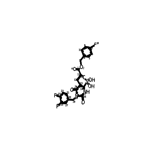 O=C(OCc1ccc(F)cc1)C1=Cc2c([nH]c(=O)n(Cc3ccc(F)c(F)c3)c2=O)S(O)(O)C1